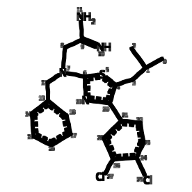 CC(C)Cc1sc(N(CC(=N)N)Cc2ccccc2)nc1-c1ccc(Cl)c(Cl)c1